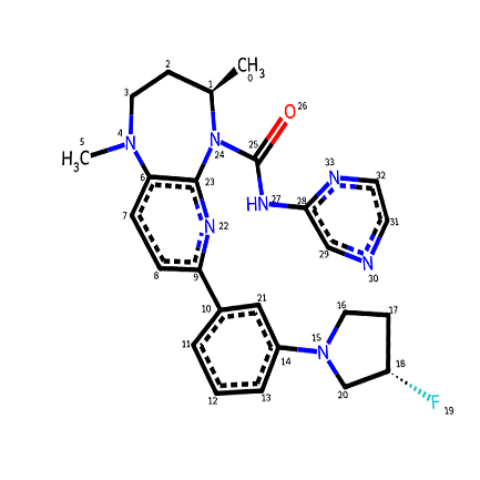 C[C@@H]1CCN(C)c2ccc(-c3cccc(N4CC[C@H](F)C4)c3)nc2N1C(=O)Nc1cnccn1